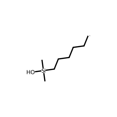 [CH2]CCCCC[Si](C)(C)O